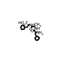 C[C@H](NC(=O)[C@@H](N)Cc1ccccc1)C(=O)N[C@@H](Cc1ccccc1)C(=O)O